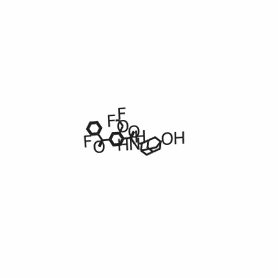 O=C(c1ccc(C(=O)N[C@H]2C3CC4CC2C[C@](O)(C4)C3)c(OC(F)F)c1)c1ccccc1F